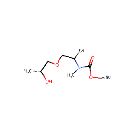 C[C@@H](O)COCC(C#N)N(C)C(=O)OC(C)(C)C